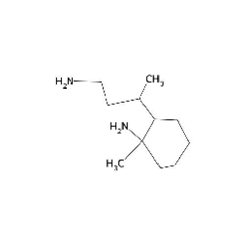 CC(CCN)C1CCCCC1(C)N